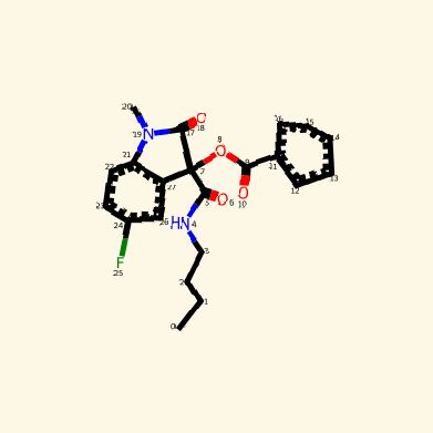 CCCCNC(=O)C1(OC(=O)c2ccccc2)C(=O)N(C)c2ccc(F)cc21